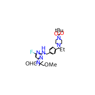 CCC(c1ccc(CNc2nc(F)cc(N(C=O)C(C)(C)COC)n2)cc1)N1CCN(C(=O)OC(C)(C)C)CC1